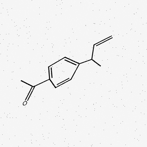 C=CC(C)c1ccc(C(C)=O)cc1